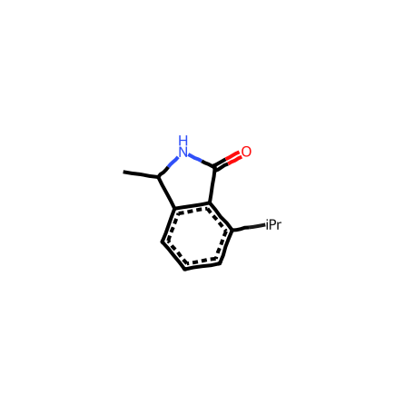 CC(C)c1cccc2c1C(=O)NC2C